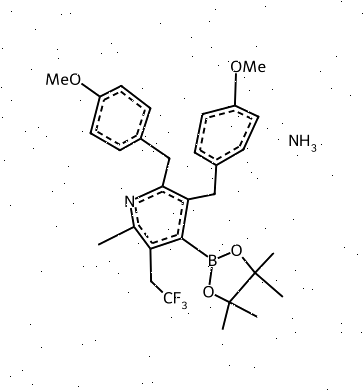 COc1ccc(Cc2nc(C)c(CC(F)(F)F)c(B3OC(C)(C)C(C)(C)O3)c2Cc2ccc(OC)cc2)cc1.N